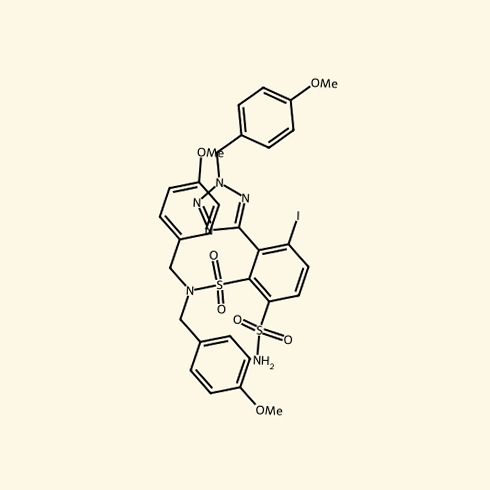 COc1ccc(CN(Cc2ccc(OC)cc2)S(=O)(=O)c2c(S(N)(=O)=O)ccc(I)c2-c2nnn(Cc3ccc(OC)cc3)n2)cc1